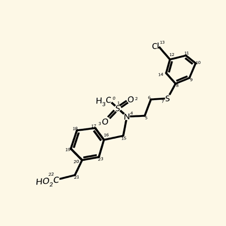 CS(=O)(=O)N(CCSc1cccc(Cl)c1)Cc1cccc(CC(=O)O)c1